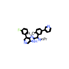 CCC/N=C(/c1nc2c(-c3cccc(F)c3)cncc2[nH]1)c1cc(-c2cccnc2)ccc1C